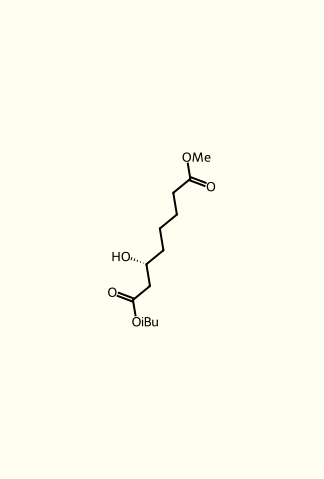 COC(=O)CCCC[C@@H](O)CC(=O)OCC(C)C